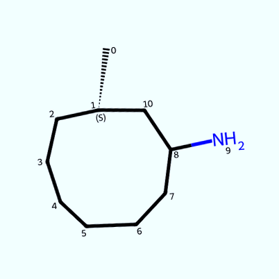 C[C@H]1CCCCCCC(N)C1